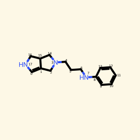 C1=C2CN(CCCNc3ccccc3)CC2CN1